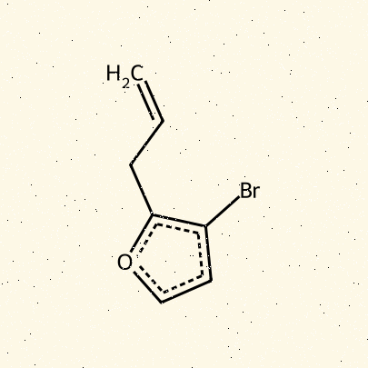 C=CCc1occc1Br